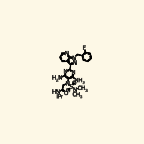 CC(C)NC(=O)CN(c1c(N)nc(-c2nn(Cc3ccccc3F)c3ncccc23)nc1N)S(=O)(=O)N(C)C